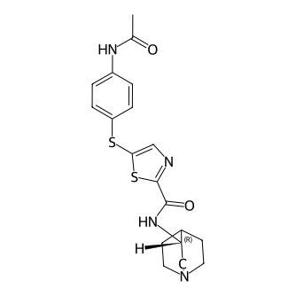 CC(=O)Nc1ccc(Sc2cnc(C(=O)N[C@H]3CN4CCC3CC4)s2)cc1